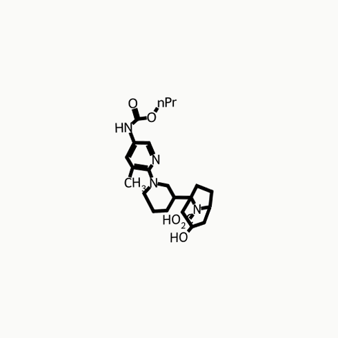 CCCOC(=O)Nc1cnc(N2CCCC(C34CCC(CC(O)C3)N4C(=O)O)C2)c(C)c1